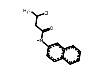 CC(Cl)CC(=O)Nc1ccc2ccccc2c1